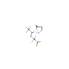 CC(C)C(C)(C)CC(N1CCCC1=O)C(C)(C)C